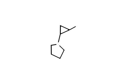 O=C(O)C1CC1N1CCCC1